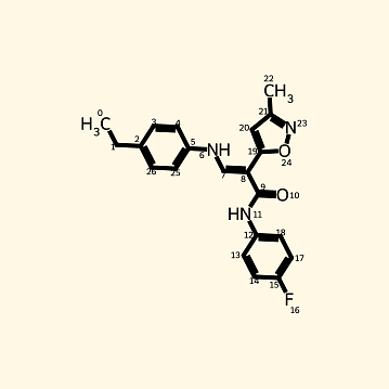 CCc1ccc(N/C=C(/C(=O)Nc2ccc(F)cc2)c2cc(C)no2)cc1